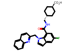 O=C(NC[C@H]1CC[C@H](C(=O)O)CC1)c1cc(F)cc2ccn(Cc3ccc4ccccc4n3)c12